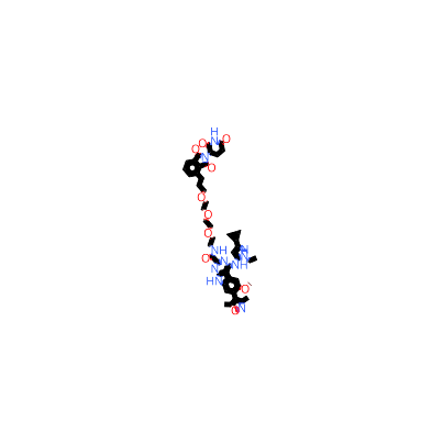 CCn1nc(C2CC2)cc1Nc1nc(C(=O)NCCOCCOCCOCCCc2cccc3c2C(=O)N(C2CCC(=O)NC2=O)C3=O)nc2[nH]c3cc(-c4c(C)noc4C)c(OC)cc3c12